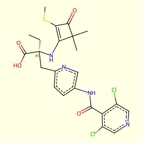 CC[C@@](Cc1ccc(NC(=O)c2c(Cl)cncc2Cl)cn1)(NC1=C(SC)C(=O)C1(C)C)C(=O)O